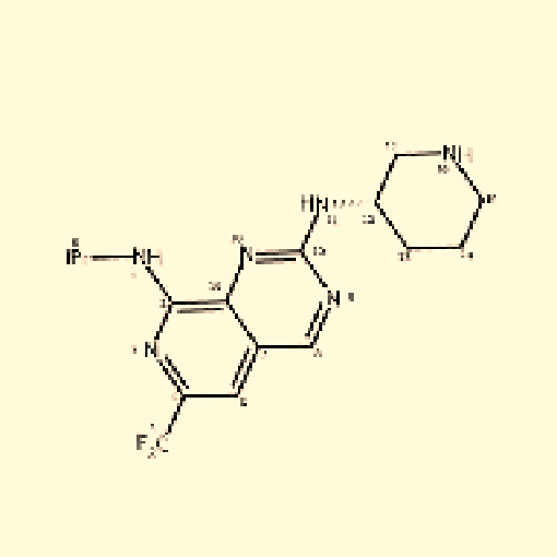 CC(C)Nc1nc(C(F)(F)F)cc2cnc(N[C@H]3CCCNC3)nc12